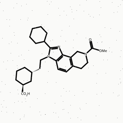 COC(=O)N1CCc2ccc3c(nc(C4CCCCC4)n3CC[C@H]3CCC[C@H](C(=O)O)C3)c2C1